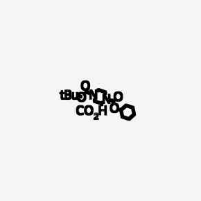 CC(C)(C)OC(=O)N1CCN(C(=O)OC2CCCCC2)C(C(=O)O)C1